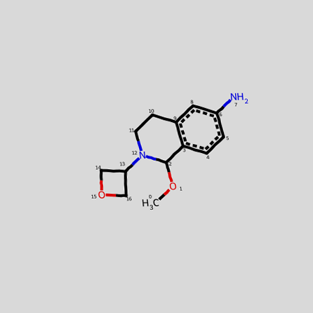 COC1c2ccc(N)cc2CCN1C1COC1